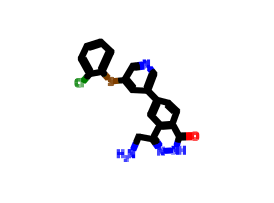 NCc1n[nH]c(=O)c2ccc(-c3cncc(Sc4ccccc4Cl)c3)cc12